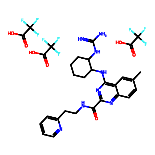 Cc1ccc2nc(C(=O)NCCc3ccccn3)nc(NC3CCCCC3NC(=N)N)c2c1.O=C(O)C(F)(F)F.O=C(O)C(F)(F)F.O=C(O)C(F)(F)F